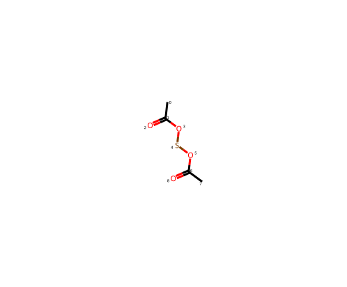 CC(=O)OSOC(C)=O